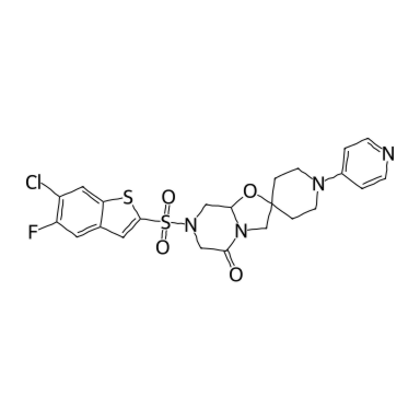 O=C1CN(S(=O)(=O)c2cc3cc(F)c(Cl)cc3s2)CC2OC3(CCN(c4ccncc4)CC3)CN12